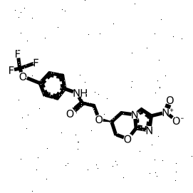 O=C(CO[C@@H]1COc2nc([N+](=O)[O-])cn2C1)Nc1ccc(OC(F)(F)F)cc1